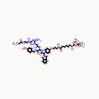 CCC(=O)NCCNC(=O)/N=C(/N)NCCC[C@@H](NC(=O)[C@H](c1ccc(OCCCNC(=O)CCCCCNC(=O)OC(C)(C)C)cc1)N1Cc2ccccc2C1)C(=O)NCc1ccc(O)cc1